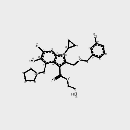 CCOC(=O)c1c(CSCc2cccc(Cl)c2)n(C2CC2)c2cc(Br)c(O)c(CN3CCCC3)c12.Cl